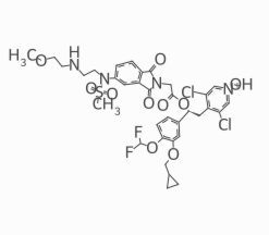 COCCNCCN(c1ccc2c(c1)C(=O)N(CC(=O)O[C@@H](Cc1c(Cl)c[n+](O)cc1Cl)c1ccc(OC(F)F)c(OCC3CC3)c1)C2=O)S(C)(=O)=O